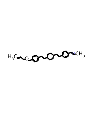 CC=CCOCc1ccc(CCC2CCC(CCc3ccc(/C=C/C)cc3)CC2)cc1